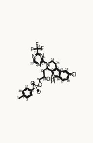 Cc1ccc(S(=O)(=O)OC[C@H](O)C[C@@H]2c3[nH]c4ccc(Cl)cc4c3CCN2c2ncnc(C(F)(F)F)n2)cc1